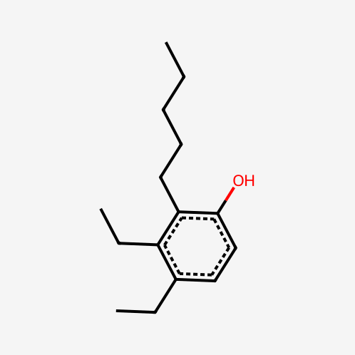 CCCCCc1c(O)ccc(CC)c1CC